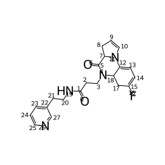 O=C(CCN1C(=O)C2CC=CN2C2=CC=C(F)CC21)NCCc1cccnc1